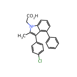 Cc1c(-c2ccc(Cl)cc2)c2c(-c3ccccc3)cccc2n1CC(=O)O